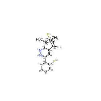 C=C1[C@@H]2C[C@H](F)[C@@]1(C)c1nnc(-c3ccccc3F)cc12